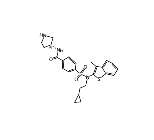 Cc1c(N(CCC2CC2)S(=O)(=O)c2ccc(C(=O)N[C@@H]3CCNC3)cc2)sc2ccccc12